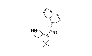 CC(C)(C)CN(C(=O)Oc1cccc2ccccc12)C1CCNC1